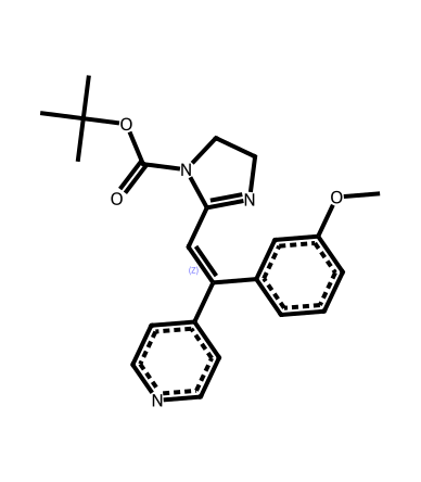 COc1cccc(/C(=C\C2=NCCN2C(=O)OC(C)(C)C)c2ccncc2)c1